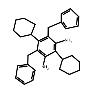 Nc1c(Cc2ccccc2)c(C2CCCCC2)c(Cc2ccccc2)c(N)c1C1CCCCC1